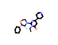 CCn1c(N2CCO[C@@H](c3ccccc3)[C@H]2C)nc(-c2ccncc2)cc1=O